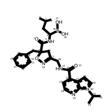 CC(C)CC(NC(=O)C1(Cc2ccccc2)CC(CNC(=O)c2ccnc3c2ccn3C(C)C)=NO1)B(O)O